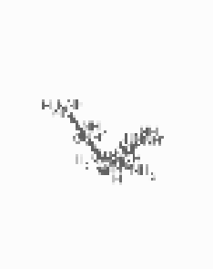 N=C(N)NCCCCC(N)C(=O)NCCCC[C@H](N)C(=O)N1CCC[C@H]1C(=O)N[C@@H](CCN)C(=O)NC(CCCNC(=N)N)C(=O)O